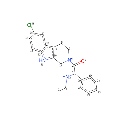 CCNC(C(=O)N1CCc2c([nH]c3ccc(Cl)cc23)C1)c1ccccc1